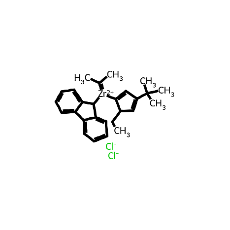 CCC1C=C(C(C)(C)C)C=[C]1[Zr+2](=[C](C)C)[CH]1c2ccccc2-c2ccccc21.[Cl-].[Cl-]